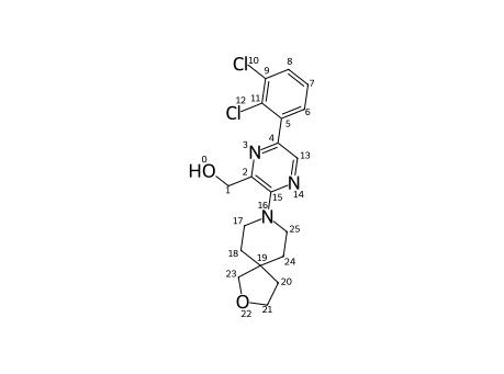 OCc1nc(-c2cccc(Cl)c2Cl)cnc1N1CCC2(CCOC2)CC1